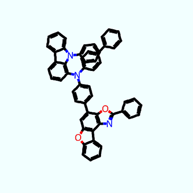 c1ccc(-c2ccc(N(c3ccc(-c4cc5oc6ccccc6c5c5nc(-c6ccccc6)oc45)cc3)c3cccc4c5ccccc5n(-c5ccccc5)c34)cc2)cc1